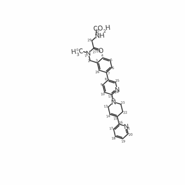 CN(Cc1cccc(-c2ccc(N3CC=C(c4ccccn4)CC3)nc2)c1)C(=O)CNC(=O)O